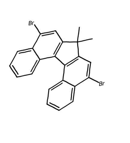 CC1(C)c2cc(Br)c3ccccc3c2-c2c1cc(Br)c1ccccc21